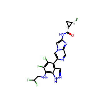 O=C(Nc1cn2cc(-c3c(Cl)c(F)c(NCC(F)F)c4[nH]ncc34)ncc2n1)[C@@H]1C[C@@H]1F